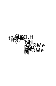 COc1ccc(CN(c2cnns2)S(=O)(=O)c2cc(Cl)c(NCCCCN(CC(C)NC(=O)OC(C)(C)C)C(=O)O)cc2F)c(OC)c1